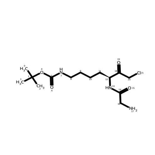 CC(C)(C)OC(=O)NCCCC[C@H](NC(=O)CN)C(=O)CCl